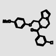 COc1ccc(OCC2c3cccn3CCN2C(=O)c2cccc(Cl)c2)cc1